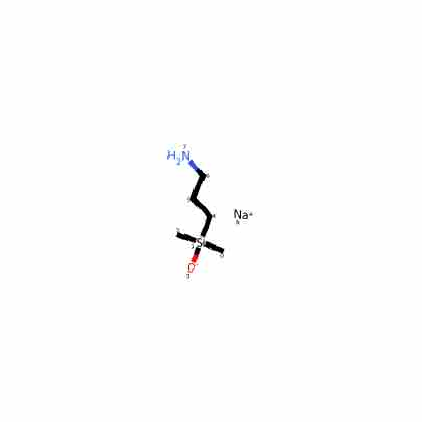 C[Si](C)([O-])CCCN.[Na+]